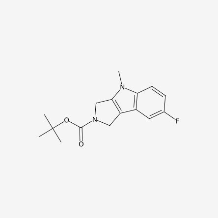 Cn1c2c(c3cc(F)ccc31)CN(C(=O)OC(C)(C)C)C2